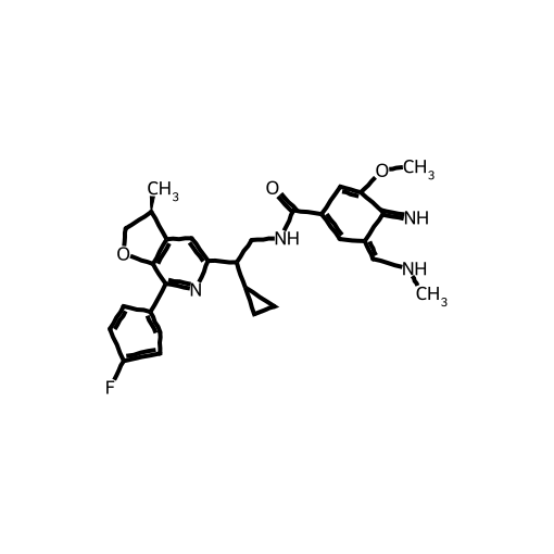 CN/C=C1/C=C(C(=O)NCC(c2cc3c(c(-c4ccc(F)cc4)n2)OC[C@H]3C)C2CC2)C=C(OC)C1=N